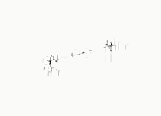 CC(C)OCC(=O)N(C)CCCCCOCCOCCCCCNC(=O)C(C)C